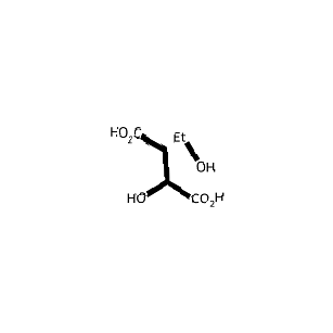 CCO.O=C(O)CC(O)C(=O)O